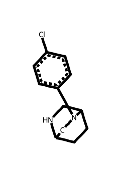 Clc1ccc(N2CC3CCC2CN3)cc1